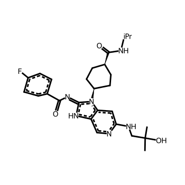 CC(C)NC(=O)[C@H]1CC[C@@H](n2/c(=N/C(=O)c3ccc(F)cc3)[nH]c3cnc(NCC(C)(C)O)cc32)CC1